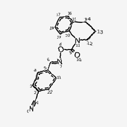 N#Cc1ccc(C=NOC(=O)N2CCCc3ccccc32)cc1